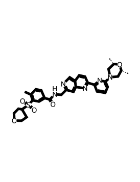 Cc1ccc(C(=O)NCc2cc3nc(-c4cccc(N5C[C@@H](C)O[C@@H](C)C5)n4)ccc3cn2)cc1S(=O)(=O)C1CCOCC1